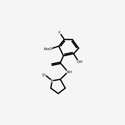 C=C(NC1CCCN1CC)c1c(O)ccc(F)c1OC